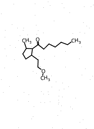 CCCCCCC(=O)C1C(C)CCC1CCOC